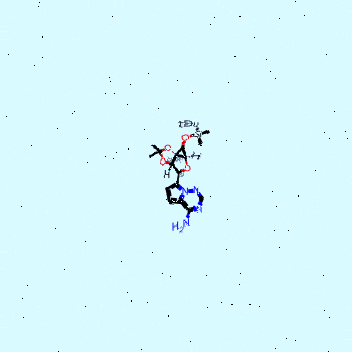 CC1(C)O[C@H]2[C@H](c3ccc4c(N)ncnn34)O[C@@H]3C(O[Si](C)(C)C(C)(C)C)[C@@]32O1